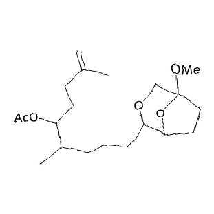 C=C(C)CCC(OC(C)=O)C(C)CCCC1OCC2(OC)CCC1O2